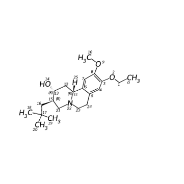 CCOc1cc2c(cc1OC)[C@H]1C[C@@H](O)[C@H](CC(C)(C)C)CN1CC2